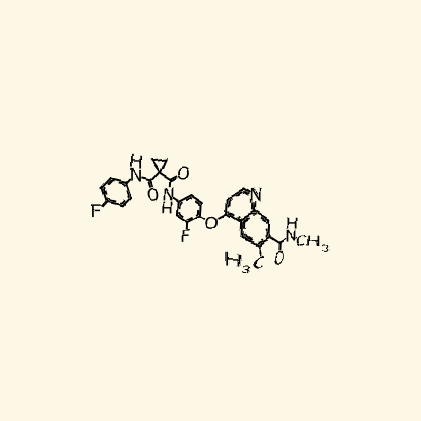 CNC(=O)c1cc2nccc(Oc3ccc(NC(=O)C4(C(=O)Nc5ccc(F)cc5)CC4)cc3F)c2cc1C